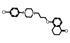 O=C1CCCc2c(OCCCN3CCN(c4ccc(Cl)cc4)CC3)cccc21